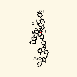 COc1cc(CN2CCN(C3CC4(CCN(c5ccc(C(=O)NS(=O)(=O)c6cc([N+](=O)[O-])c7c(n6)OC[C@H](C6CCC(C)(O)CC6)N7)c(N6c7cc8cc[nH]c8nc7O[C@H]7COCC[C@@H]76)c5)CC4)C3)[C@H](c3ccccc3C)C2)cnc1N1CCOC[C@H]1C